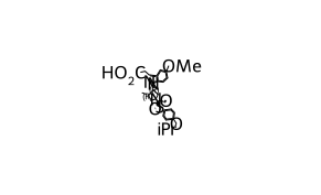 COc1ccc2c(c1)c(CC(=O)O)nn2[C@H]1CN(S(=O)(=O)c2ccc(OC(C)C)cc2)C[C@H]1C